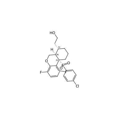 O=S(=O)(c1ccc(Cl)cc1)[C@@]12CCC[C@@H](CCO)[C@@H]1COc1c(F)ccc(F)c12